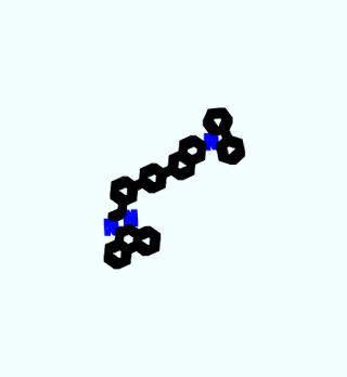 C1=CC(n2c3ccccc3c3ccccc32)Cc2ccc(-c3ccc(-c4cccc(-c5cnc6c7ccccc7c7ccccc7c6n5)c4)cc3)cc21